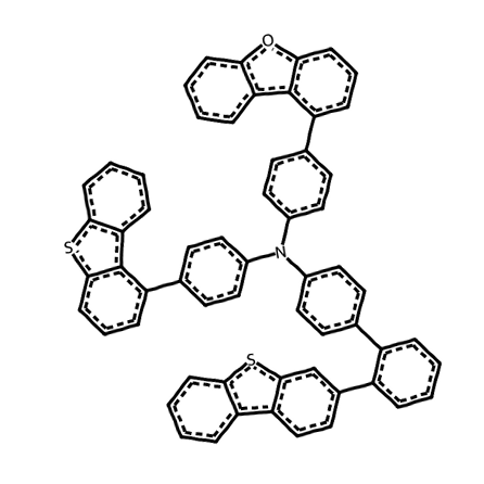 c1ccc(-c2ccc3c(c2)sc2ccccc23)c(-c2ccc(N(c3ccc(-c4cccc5oc6ccccc6c45)cc3)c3ccc(-c4cccc5sc6ccccc6c45)cc3)cc2)c1